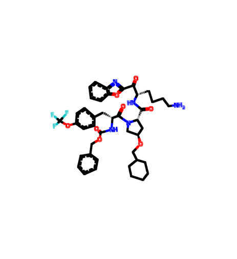 NCCCC[C@H](NC(=O)[C@@H]1C[C@@H](OCC2CCCCC2)CN1C(=O)[C@@H](Cc1ccc(OC(F)(F)F)cc1)NC(=O)OCc1ccccc1)C(=O)c1nc2ccccc2o1